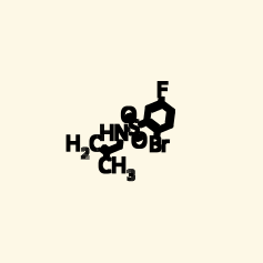 C=C(C)CNS(=O)(=O)c1cc(F)ccc1Br